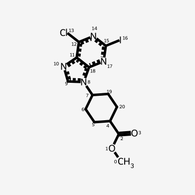 COC(=O)C1CCC(n2cnc3c(Cl)nc(I)nc32)CC1